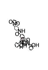 CC(Cc1ccc(C(=O)NC2CCC(CN3C(=O)C=CC3=O)CC2)cc1)(C(=O)NCc1ccccc1O)C(=O)NCc1ccccc1O